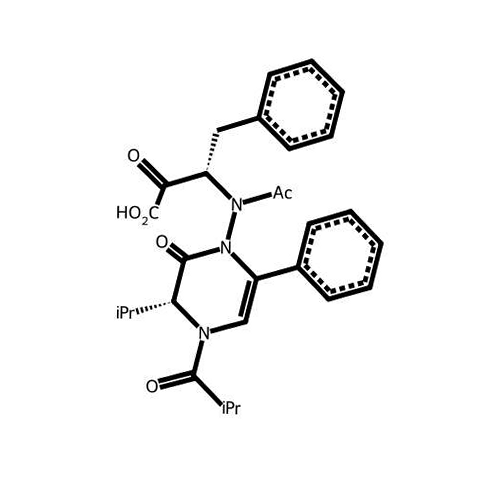 CC(=O)N([C@@H](Cc1ccccc1)C(=O)C(=O)O)N1C(=O)[C@@H](C(C)C)N(C(=O)C(C)C)C=C1c1ccccc1